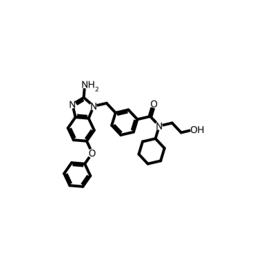 Nc1nc2ccc(Oc3ccccc3)cc2n1Cc1cccc(C(=O)N(CCO)C2CCCCC2)c1